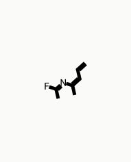 C=C/C=C(C)\N=C(/C)F